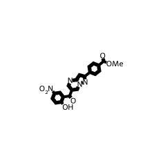 COC(=O)c1ccc(-c2cc3ncc(C(=O)c4cc([N+](=O)[O-])ccc4O)cn3n2)cc1